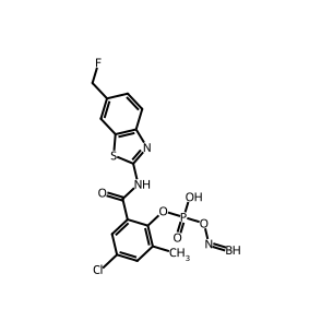 B=NOP(=O)(O)Oc1c(C)cc(Cl)cc1C(=O)Nc1nc2ccc(CF)cc2s1